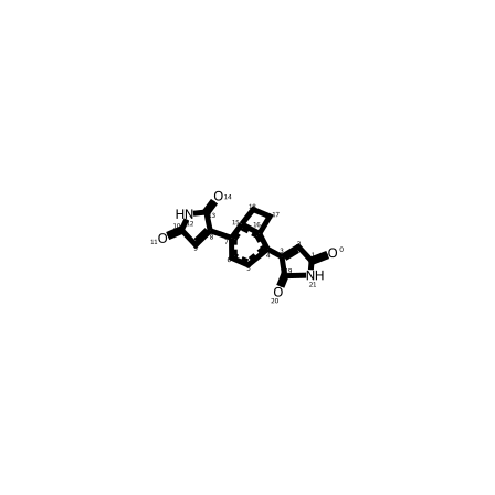 O=C1C=C(c2ccc(C3=CC(=O)NC3=O)c3c2CC3)C(=O)N1